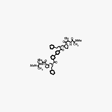 CN[C@@H](C)C(=O)N[C@H](C(=O)N1CCC[C@H]1CN(CCc1ccccc1)C(=O)c1ccc(-c2cccc(C(=O)N(CCc3ccccc3)C[C@@H]3CCCN3C(=O)[C@@H](NC(=O)[C@H](C)NC)C(C)(C)C)c2)cc1)C(C)(C)C